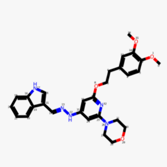 COc1ccc(CCOc2cc(N/N=C/c3c[nH]c4ccccc34)cc(N3CCOCC3)n2)cc1OC